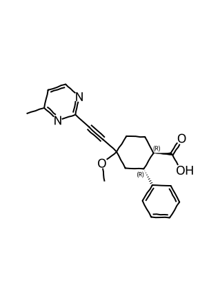 COC1(C#Cc2nccc(C)n2)CC[C@@H](C(=O)O)[C@H](c2ccccc2)C1